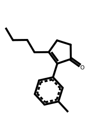 CCCCC1=C(c2cccc(C)c2)C(=O)CC1